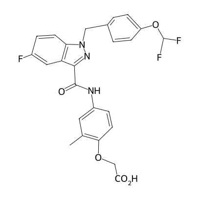 Cc1cc(NC(=O)c2nn(Cc3ccc(OC(F)F)cc3)c3ccc(F)cc23)ccc1OCC(=O)O